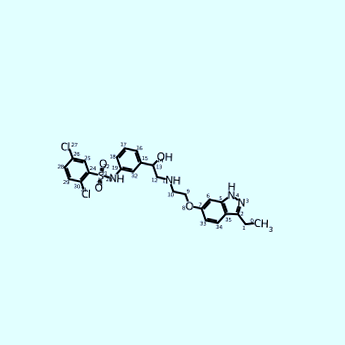 CCc1n[nH]c2cc(OCCNCC(O)c3cccc(NS(=O)(=O)c4cc(Cl)ccc4Cl)c3)ccc12